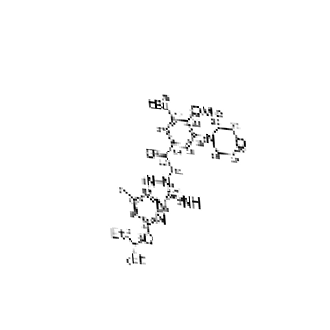 CCC(CC)Oc1cc(C)c2nn(CC(=O)c3cc(N4CCOCC4)c(OC)c(C(C)(C)C)c3)c(=N)n2n1